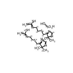 CC1(C)N=CN=C1CSCCN=C(N)S.CC1(C)N=CN=C1CSCCN=C(N)S.O=S(=O)(O)O